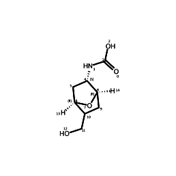 O=C(O)N[C@H]1C[C@H]2O[C@@H]1CC2CO